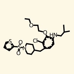 CCOCCOc1c(NCC(C)C)ccc(CC2CCN(S(=O)(=O)c3cccs3)CC2)c1Cl